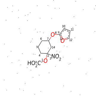 O=C(O)OC1([N+](=O)[O-])CCCC(Oc2ccco2)C1